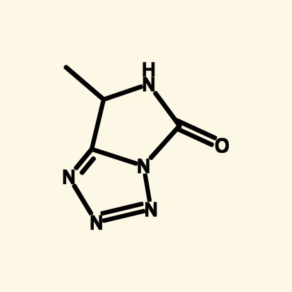 CC1NC(=O)n2nnnc21